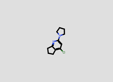 Clc1cc(N2CCCC2)nc2c1CCC2